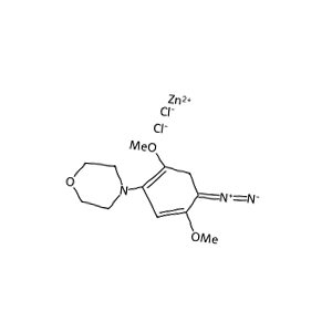 COC1=CC(N2CCOCC2)=C(OC)CC1=[N+]=[N-].[Cl-].[Cl-].[Zn+2]